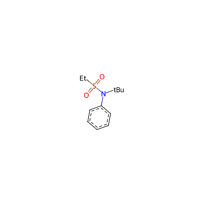 CCS(=O)(=O)N(c1ccccc1)C(C)(C)C